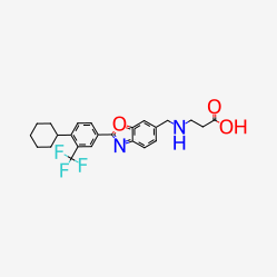 O=C(O)CCNCc1ccc2nc(-c3ccc(C4CCCCC4)c(C(F)(F)F)c3)oc2c1